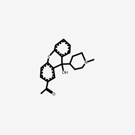 CC(=O)c1ccc2c(c1)C(O)(C1CCN(C)CC1)c1ccccc1S2